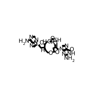 Nc1nc2c(ncn2[C@@H]2OC3C[C@H]2OP(=O)(S)OC[C@H]2O[C@@H](c4cnc5c(N)ncnn45)C[C@@H]2CCO3)c(=O)[nH]1